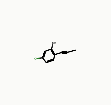 [CH2]C#Cc1ccc(Cl)cc1[N+](=O)[O-]